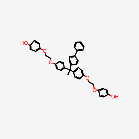 CC(c1ccc(OCCOc2ccc(O)cc2)cc1)(c1ccc(OCCOc2ccc(O)cc2)cc1)c1ccc(-c2ccccc2)cc1